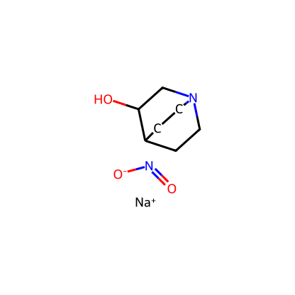 O=N[O-].OC1CN2CCC1CC2.[Na+]